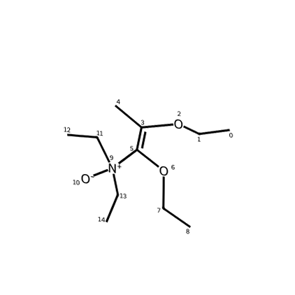 CCOC(C)=C(OCC)[N+]([O-])(CC)CC